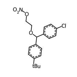 CC(C)(C)c1ccc(C(OCCO[N+](=O)[O-])c2ccc(Cl)cc2)cc1